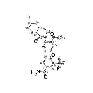 CC(C)N(c1ccc(Oc2ccc(C(N)=O)cc2C(F)(F)F)cc1C(=O)O)C(=O)[C@H]1CC[C@H](C)CC1